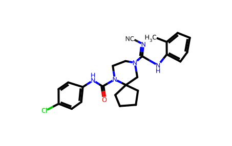 Cc1ccccc1N/C(=N/C#N)N1CCN(C(=O)Nc2ccc(Cl)cc2)C2(CCCC2)C1